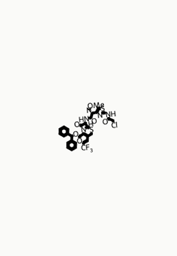 CON=C(C(=O)NC1C(=O)N2C(C(=O)OC(c3ccccc3)c3ccccc3)=C(C=CC(F)(F)F)CS[C@@H]12)c1csc(NC(=O)CCl)n1